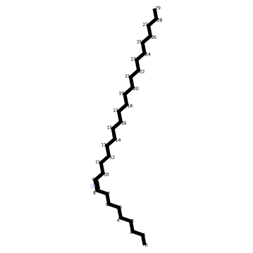 CCCCCCCC/C=C\CCCCCCCCCCCCCCCCCCCC